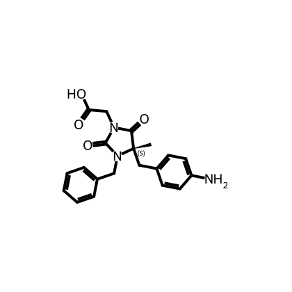 C[C@]1(Cc2ccc(N)cc2)C(=O)N(CC(=O)O)C(=O)N1Cc1ccccc1